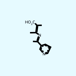 C/C(=N\C(C)=C(/C)C(=O)O)c1cccnc1